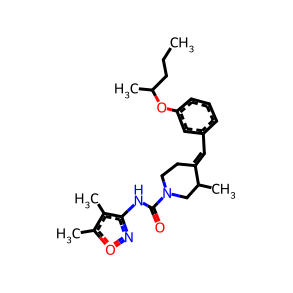 CCCC(C)Oc1cccc(C=C2CCN(C(=O)Nc3noc(C)c3C)CC2C)c1